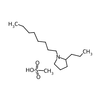 CCCCCCCCN1CCCC1CCC.CS(=O)(=O)O